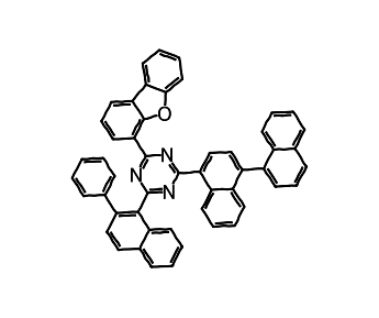 c1ccc(-c2ccc3ccccc3c2-c2nc(-c3ccc(-c4cccc5ccccc45)c4ccccc34)nc(-c3cccc4c3oc3ccccc34)n2)cc1